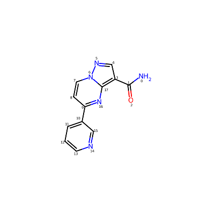 NC(=O)c1cnn2ccc(-c3cccnc3)nc12